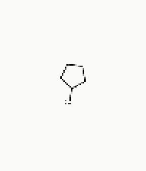 [2H]C1CCCC1